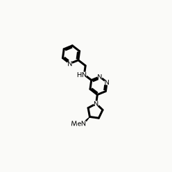 CN[C@@H]1CCN(c2cnnc(NCc3ccccn3)c2)C1